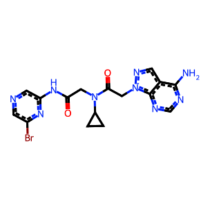 Nc1ncnc2c1cnn2CC(=O)N(CC(=O)Nc1cncc(Br)n1)C1CC1